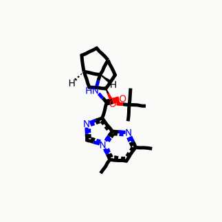 Cc1cc(C)n2cnc(C(=O)N[C@H]3C4CC[C@@H]3C[C@H](OC(C)(C)C)C4)c2n1